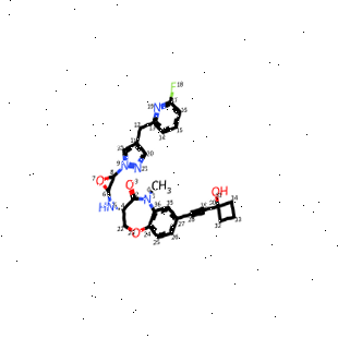 CN1C(=O)[C@@H](NC2OC2n2cc(Cc3cccc(F)n3)cn2)COc2ccc(C#CC3(O)CCC3)cc21